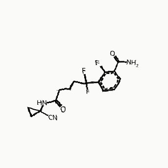 N#CC1(NC(=O)[CH]CCC(F)(F)c2cccc(C(N)=O)c2F)CC1